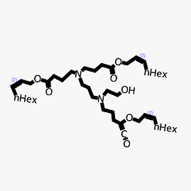 CCCCCC/C=C\COC(=O)CCCN(CCCC(=O)OC/C=C\CCCCCC)CCCN(CCO)CCCC(=C=O)OC/C=C\CCCCCC